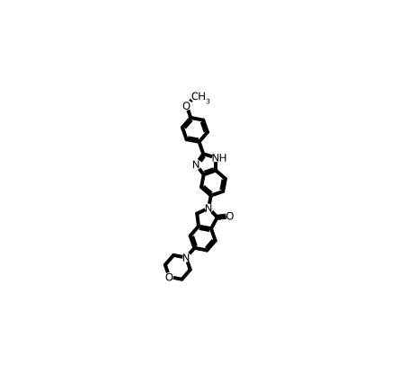 COc1ccc(-c2nc3cc(N4Cc5cc(N6CCOCC6)ccc5C4=O)ccc3[nH]2)cc1